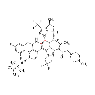 C[C@H]1CC(F)(F)c2c1c(C(F)(F)F)nn2CC(=O)NC(Cc1cc(F)cc(F)c1)c1nc(C#CC(C)(C)[S+](C)[O-])ccc1-c1ccc(Cl)c2c(N(C(=O)CN3CCN(C)CC3)[S+](C)[O-])nn(CC(F)(F)F)c12